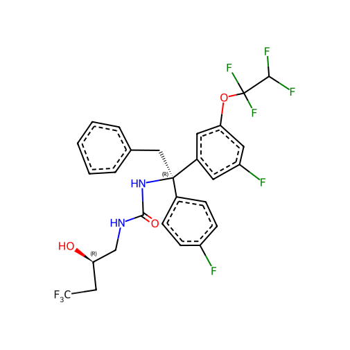 O=C(NC[C@H](O)CC(F)(F)F)N[C@](Cc1ccccc1)(c1ccc(F)cc1)c1cc(F)cc(OC(F)(F)C(F)F)c1